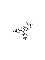 CCN(CC)C(=O)c1ccc(C(=C2CCNCC2)c2ccccc2)cc1.Cl